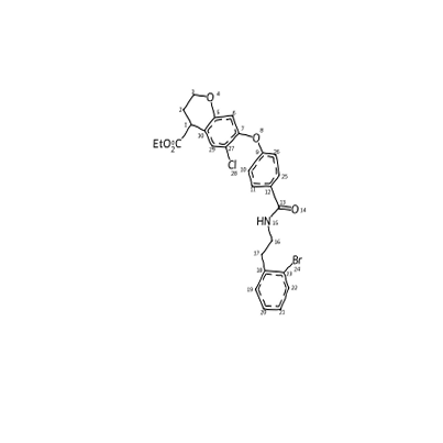 CCOC(=O)C1CCOc2cc(Oc3ccc(C(=O)NCCc4ccccc4Br)cc3)c(Cl)cc21